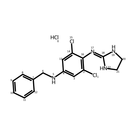 Cl.Clc1cc(NCc2ccccc2)cc(Cl)c1N=C1NCCN1